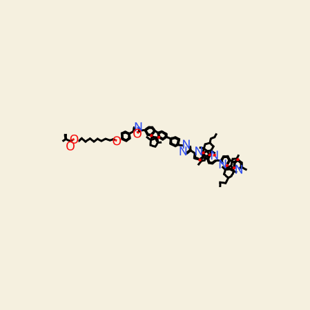 C=C(C)C(=O)OCCCCCCCCCCOc1ccc(-c2cnc(-c3ccc4c(c3)C3(c5cc(-c6ccc(-c7ncc(-c8ccc9c(n8)C8(c%10nc(-c%11ccc%12c(n%11)C%11(c%13nc(C)ccc%13-%12)C%12(C)CC(CCC)CC%11(C)CC(CCC)C%12)ccc%10-9)C9(C)CC(CCC)CC8(C)CC(CCC)C9)cn7)cc6)ccc5-4)C4(C)CCC3(C)CC4)o2)cc1